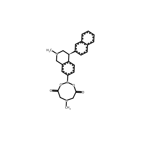 CN1CC(=O)OB(c2ccc3c(c2)CN(C)C[C@H]3c2ccc3ccccc3c2)OC(=O)C1